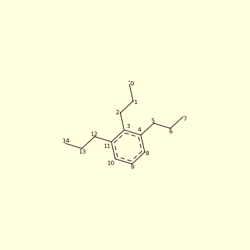 [CH2]CCc1c(CCC)cccc1CCC